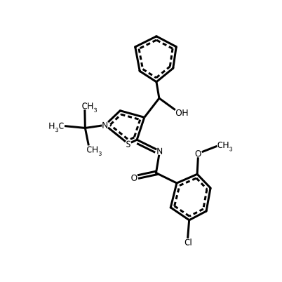 COc1ccc(Cl)cc1C(=O)N=c1sn(C(C)(C)C)cc1C(O)c1ccccc1